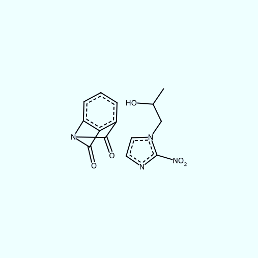 CC(O)Cn1ccnc1[N+](=O)[O-].O=C1c2cccc3c2C(=O)N13